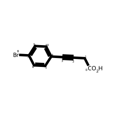 O=C(O)CC#Cc1ccc(Br)cc1